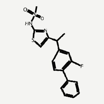 CC(c1ccc(-c2ccccc2)c(F)c1)c1csc(NS(C)(=O)=O)n1